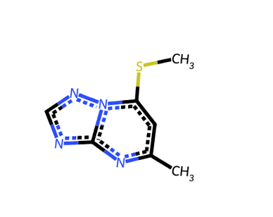 CSc1cc(C)nc2ncnn12